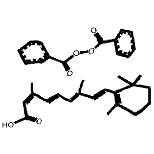 CC1=C(/C=C/C(C)=C/C=C/C(C)=C\C(=O)O)C(C)(C)CCC1.O=C(OOC(=O)c1ccccc1)c1ccccc1